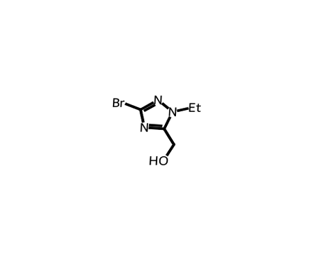 CCn1nc(Br)nc1CO